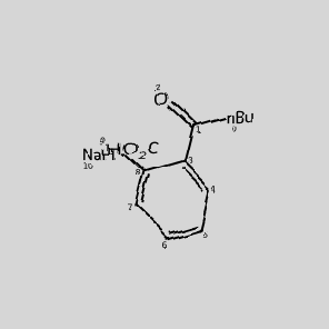 CCCCC(=O)c1ccccc1C(=O)O.[NaH]